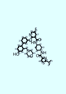 CC(C)c1nc(C(=O)N[C@H]2CC[C@H](NC(=O)c3cc(F)cnc3Oc3cccc(-c4ccc(O)cc4CN4CCOCC4)c3)CC2)cs1